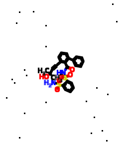 CC(C)(O)C#Cc1cccc(-c2ccccc2)c1C(=O)NS(=O)(=O)c1ccccc1S(N)(=O)=O